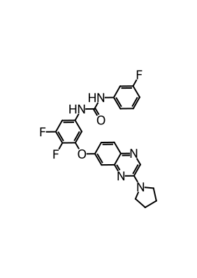 O=C(Nc1cccc(F)c1)Nc1cc(F)c(F)c(Oc2ccc3ncc(N4CCCC4)nc3c2)c1